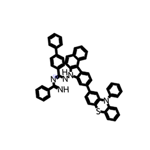 N=C(/N=C(\Nn1c2cc(-c3ccc4c(c3)N(c3ccccc3)c3ccccc3S4)ccc2c2c3ccccc3ccc21)c1ccc(-c2ccccc2)cc1)c1ccccc1